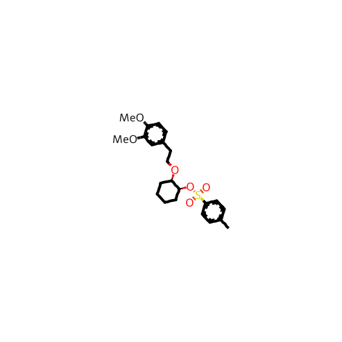 COc1ccc(CCO[C@@H]2CCCC[C@@H]2OS(=O)(=O)c2ccc(C)cc2)cc1OC